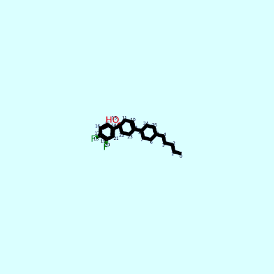 CCCCCC1CCC(C2=CCC(O)(c3ccc(F)c(F)c3)CC2)CC1